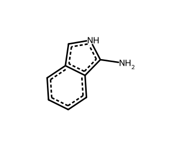 Nc1[nH]cc2ccccc12